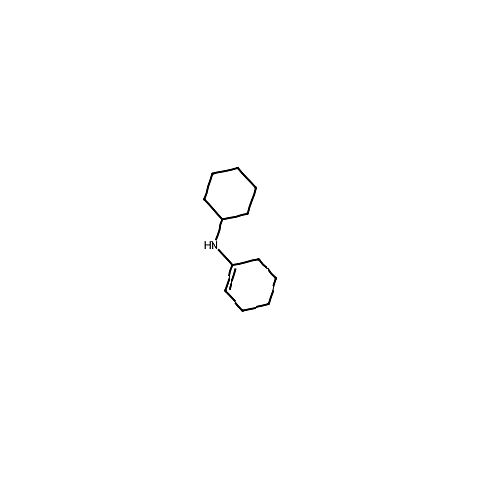 C1=C(NC2CCCCC2)CCCC1